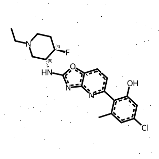 CCN1CC[C@@H](F)[C@H](Nc2nc3nc(-c4c(C)cc(Cl)cc4O)ccc3o2)C1